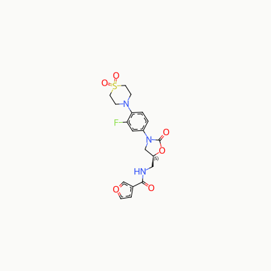 O=C(NC[C@H]1CN(c2ccc(N3CCS(=O)(=O)CC3)c(F)c2)C(=O)O1)c1ccoc1